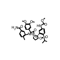 COC(=O)Nc1ccc(S(=O)(=O)C(C)C)c([C@H]2CCCN2C(=O)[C@H](Nc2cc(C(N)=O)ccc2C)c2ccc(OC)c(OC)c2)c1